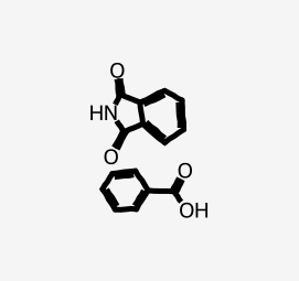 O=C(O)c1ccccc1.O=C1NC(=O)c2ccccc21